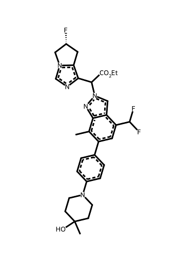 CCOC(=O)C(c1ncn2c1C[C@@H](F)C2)n1cc2c(C(F)F)cc(-c3ccc(N4CCC(C)(O)CC4)cc3)c(C)c2n1